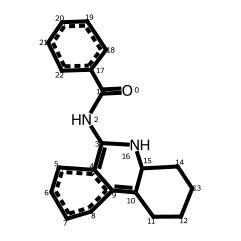 O=C(NC1=c2ccccc2=C2CCCCC2N1)c1ccccc1